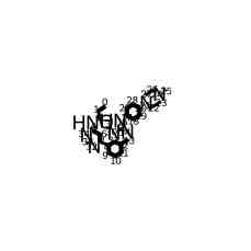 C=CC(=O)Nc1cc(-c2cccc3cnc(Nc4ccc(N5CCN(C)CC5)cc4)nc23)ncn1